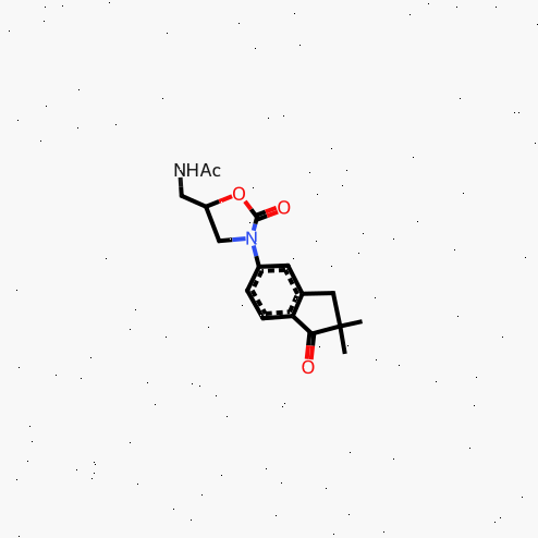 CC(=O)NCC1CN(c2ccc3c(c2)CC(C)(C)C3=O)C(=O)O1